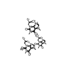 Cn1c(=O)c2c(ncn2C)n(CC(=O)[O-])c1=O.Cn1c(=O)c2c(ncn2C)n(CC(=O)[O-])c1=O.Cn1c(=O)c2c(ncn2C)n(CC(=O)[O-])c1=O.[Al+3]